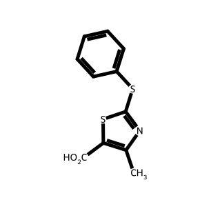 Cc1nc(Sc2ccccc2)sc1C(=O)O